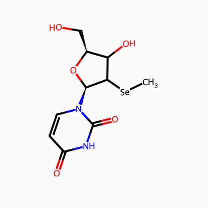 C[Se]C1C(O)[C@H](CO)O[C@@H]1n1ccc(=O)[nH]c1=O